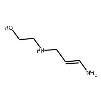 NC=CCNCCO